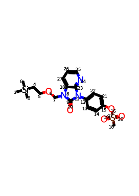 C[Si](C)(C)CCOCn1c(=O)n(-c2ccc(OS(C)(=O)=O)cc2)c2ncccc21